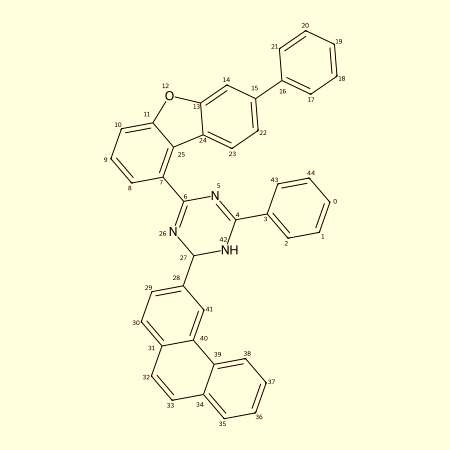 c1ccc(C2=NC(c3cccc4oc5cc(-c6ccccc6)ccc5c34)=NC(c3ccc4ccc5ccccc5c4c3)N2)cc1